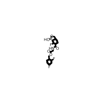 O=C(CNC(=O)c1ccc2c(c1F)B(O)OC2)OCc1ccc(F)cc1F